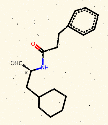 O=[C][C@H](CC1CCCCC1)NC(=O)CCc1ccccc1